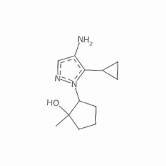 CC1(O)CCCC1n1ncc(N)c1C1CC1